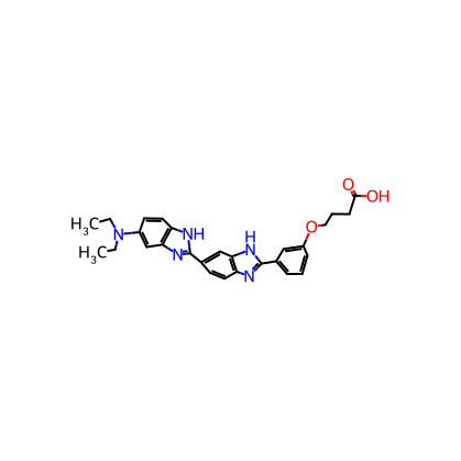 CCN(CC)c1ccc2[nH]c(-c3ccc4nc(-c5cccc(OCCCC(=O)O)c5)[nH]c4c3)nc2c1